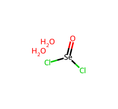 O.O.O=[Se](Cl)Cl